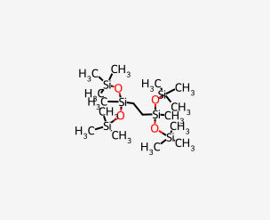 C[Si](C)(C)O[Si](C)(CC[Si](C)(O[Si](C)(C)C)O[Si](C)(C)C)O[Si](C)(C)C